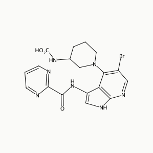 O=C(O)NC1CCCN(c2c(Br)cnc3[nH]cc(NC(=O)c4ncccn4)c23)C1